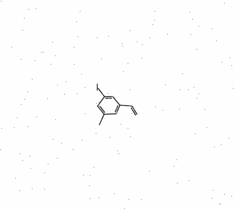 C=Cc1cc(C)cc(I)c1